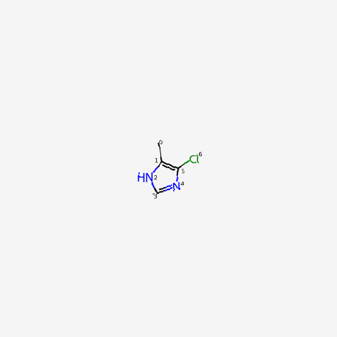 Cc1[nH][c]nc1Cl